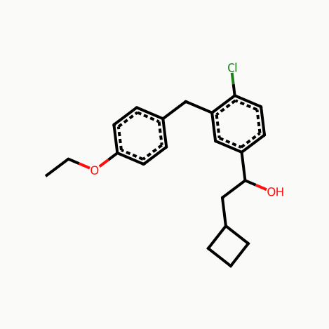 CCOc1ccc(Cc2cc(C(O)CC3CCC3)ccc2Cl)cc1